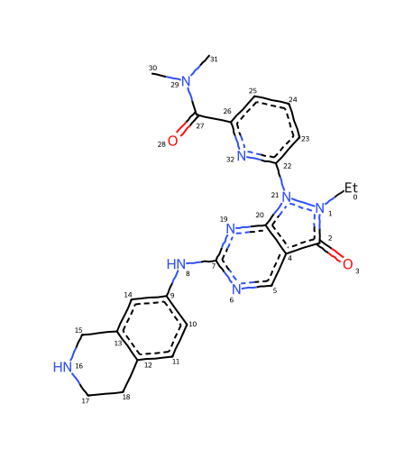 CCn1c(=O)c2cnc(Nc3ccc4c(c3)CNCC4)nc2n1-c1cccc(C(=O)N(C)C)n1